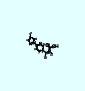 Cc1cnn(-c2ccc(C(C)N(C)C(=O)O)cn2)c1